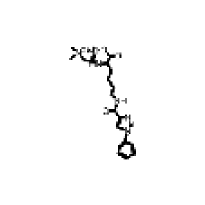 COC(=O)C(CCCCNC(=O)c1cn(-c2ccccc2)nn1)NC(=O)C[N+](C)(C)C